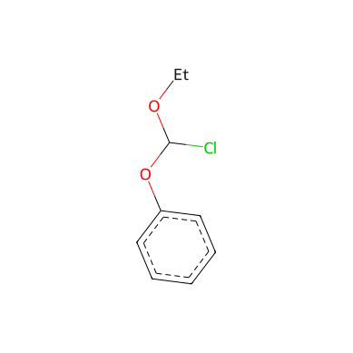 CCOC(Cl)Oc1ccccc1